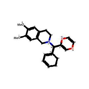 COc1cc2c(cc1OC)CN(C(C1=CC=CCC1)C1=COC=CO1)CC2